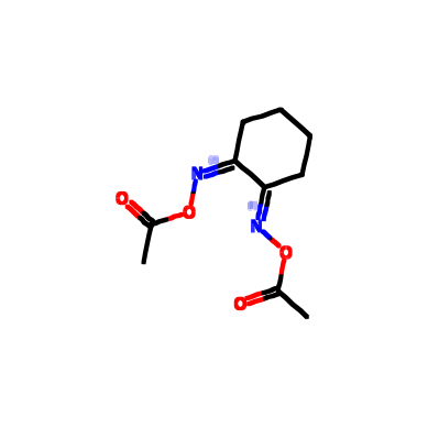 CC(=O)O/N=C1/CCCC/C1=N\OC(C)=O